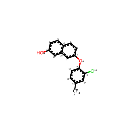 Oc1ccc2ccc(Oc3ccc(C(F)(F)F)cc3Cl)cc2c1